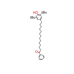 CC(C)(C)c1cc(CCCCCCCCCCCCCC(=O)c2ccccc2)cc(C(C)(C)C)c1O